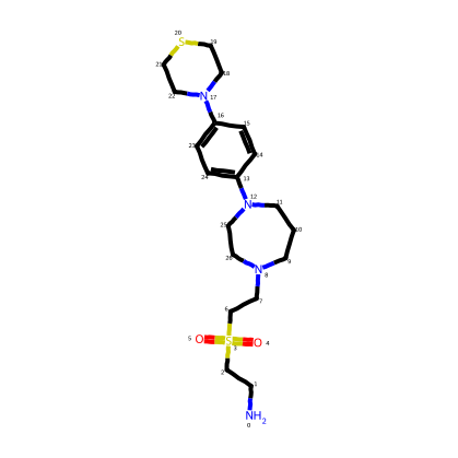 NCCS(=O)(=O)CCN1CCCN(c2ccc(N3CCSCC3)cc2)CC1